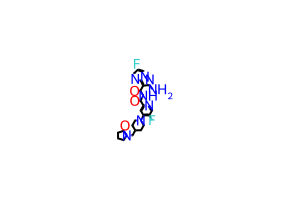 Nc1nn2cc(F)cnc2c1C(=O)NC(=O)c1cc(N2CCC(CN3CCCC3=O)CC2)c(F)cn1